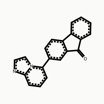 O=C1c2ccccc2-c2ccc(-c3cccc4nccn34)cc21